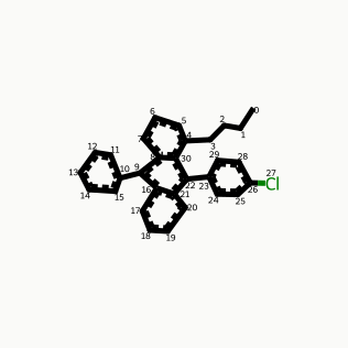 CCCCc1cccc2c(-c3ccccc3)c3ccccc3c(-c3ccc(Cl)cc3)c12